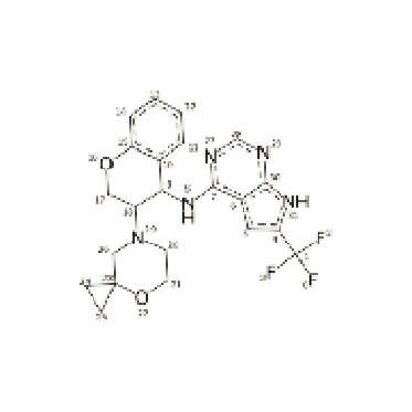 FC(F)(F)c1cc2c(NC3c4ccccc4OCC3N3CCOC4(CC4)C3)ncnc2[nH]1